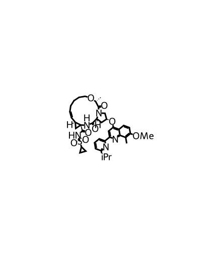 COc1ccc2c(O[C@@H]3C[C@H]4C(=O)N[C@]5(C(=O)NS(=O)(=O)C6CC6)C[C@H]5/C=C\CCCCO[C@H](C)C(=O)N4C3)cc(-c3cccc(C(C)C)n3)nc2c1C